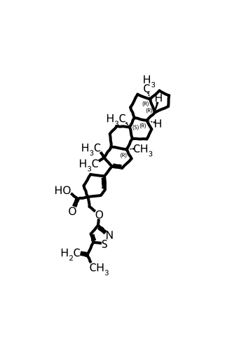 C=C(C)c1cc(OCC2(C(=O)O)CC=C(C3=CC[C@@]4(C)C(CC[C@@]5(C)C6CC[C@@]7(C)CCC[C@@H]7[C@H]6CCC54)C3(C)C)CC2)ns1